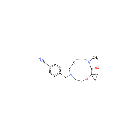 CN1CCCCN(Cc2ccc(C#N)cc2)CCOC2(CC2)C1=O